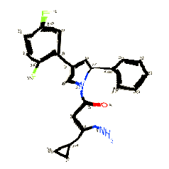 NC(CC(=O)N1CC(c2cc(F)ccc2F)=C[C@H]1c1ccccc1)C1CC1